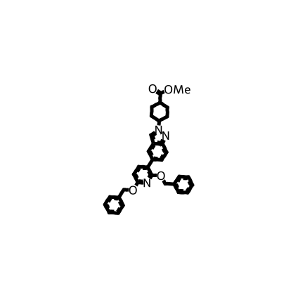 COC(=O)C1CCC(n2cc3cc(-c4ccc(OCc5ccccc5)nc4OCc4ccccc4)ccc3n2)CC1